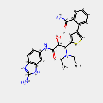 CCN(CC)C(c1cc(-c2ccccc2C(N)=O)cs1)C(O)C(=O)Nc1ccc2nc(N)[nH]c2c1